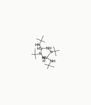 CC(C)(C)N[SiH]1NN(C(C)(C)C)[SiH](NC(C)(C)C)NN1C(C)(C)C